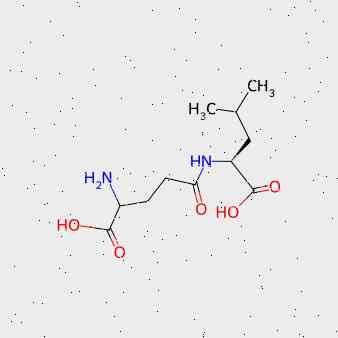 CC(C)C[C@H](NC(=O)CCC(N)C(=O)O)C(=O)O